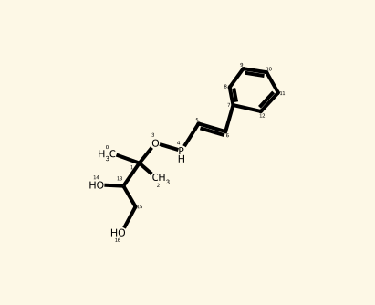 CC(C)(OPC=Cc1ccccc1)C(O)CO